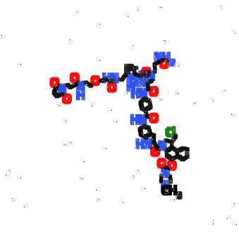 CC(C)[C@H](NCCNC(=O)CCOCCNC(=O)CCN1C(=O)C=CC1=O)C(=O)N[C@@H](CNCCC(N)=O)C(=O)Nc1ccc(C(=O)Nc2ccc3[nH]c(C(=O)N4C[C@@H](CCl)c5c4cc(OC(=O)N4CCN(C)CC4)c4ccccc54)cc3c2)cc1